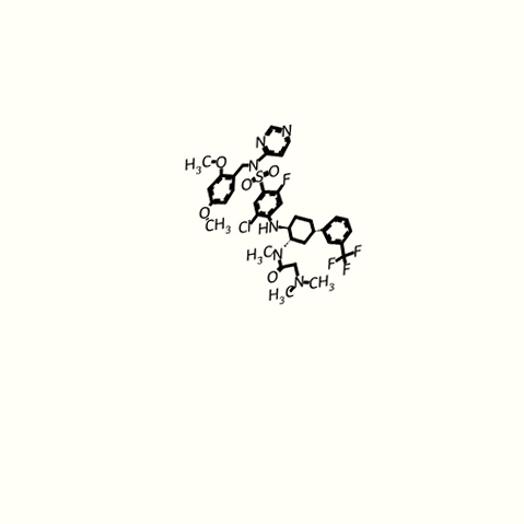 COc1ccc(CN(c2ccncn2)S(=O)(=O)c2cc(Cl)c(N[C@H]3CC[C@H](c4cccc(C(F)(F)F)c4)C[C@@H]3N(C)C(=O)CN(C)C)cc2F)c(OC)c1